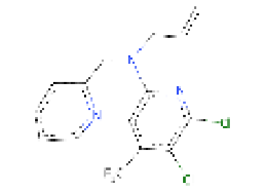 C=CCN(Cc1ccccn1)c1cc(C(F)(F)F)c(Cl)c(Cl)n1